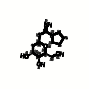 N=C(S[C@@H]1C[C@@H](O)[C@@H](O)[C@@H](CO)O1)N1CCCC1